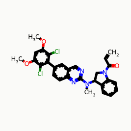 C=CC(=O)N1CC(N(C)c2ncc3cc(-c4c(Cl)c(OC)cc(OC)c4Cl)ccc3n2)c2ccccc21